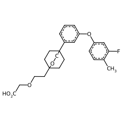 Cc1ccc(Oc2cccc(C34CCC(CCOCC(=O)O)(CC3)OC4)c2)cc1F